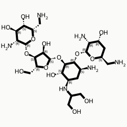 NC[C@@H]1C[C@@H](O)[C@@H](N)[C@@H](O[C@H]2[C@H](O[C@@H]3O[C@H](CO)[C@@H](O[C@H]4O[C@@H](CN)[C@@H](O)[C@H](O)[C@H]4N)[C@H]3O)[C@@H](O)[C@H](NC(CO)CO)C[C@@H]2N)O1